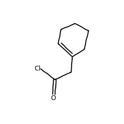 O=C(Cl)CC1=CCCCC1